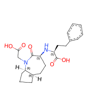 O=C(O)CN1C(=O)[C@@H](N[C@@H](CCc2ccccc2)C(=O)O)CC[C@H]2CCC[C@H]21